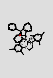 Cc1cc(C)c(N2CCN(c3c(C)cc(C)cc3C)[C]2=[Ru-5]([Cl])([Cl])(=[C]2C=C(c3ccccc3)c3ccccc32)[c]2ccccn2)c(C)c1